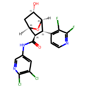 O=C(Nc1cnc(Cl)c(Cl)c1)[C@@H]1[C@@H](c2ccnc(F)c2F)[C@H]2O[C@@H]1C[C@@H]2O